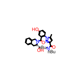 CCCCN(CCCC)C(=O)c1cc(C)n(-c2ccc(O)cc2C(=O)N2Cc3ccccc3C[C@H]2CO)n1